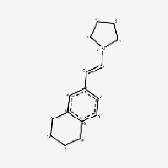 C(=CN1CCCC1)c1ccc2c(c1)CCCC2